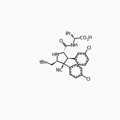 CC(C)[C@H](NC(=O)[C@H]1N[C@H](CC(C)(C)C)[C@@](C#N)(c2ccc(Cl)cc2)[C@@H]1c1cccc(Cl)c1)C(=O)O